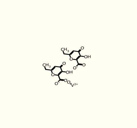 CCc1cc(=O)c(O)c(C(=O)[O-])o1.CCc1cc(=O)c(O)c(C(=O)[O-])o1.[O]=[V+2]